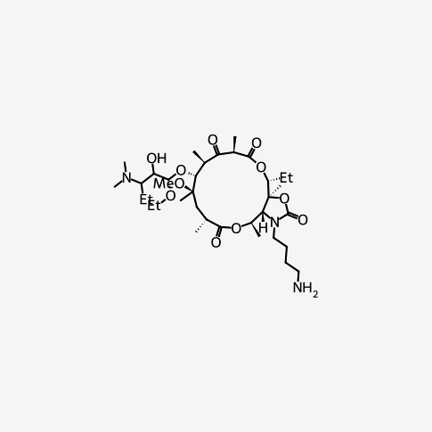 CCO[C@@H](O[C@@H]1[C@@H](C)C(=O)[C@@H](C)C(=O)O[C@H](CC)[C@@]2(C)OC(=O)N(CCCCN)[C@@H]2[C@@H](C)OC(=O)[C@H](C)C[C@@]1(C)OC)C(O)C(CC)N(C)C